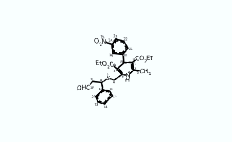 CCOC(=O)C1=C(C)NC(CSC(CC=O)c2ccccc2)=C(C(=O)OCC)C1c1cccc([N+](=O)[O-])c1